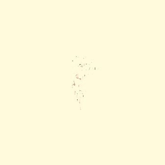 O=C(NS(=O)(=O)N1CCC1)c1cc(C2CC2)c(OCC23CC4CC(CC(CO)(C4)C2)C3)cc1F